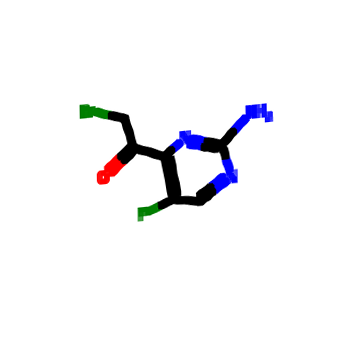 Nc1ncc(F)c(C(=O)CBr)n1